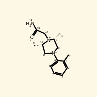 Cc1ccccc1N1C[C@@H](C)N(CC(N)=O)[C@@H](C)C1